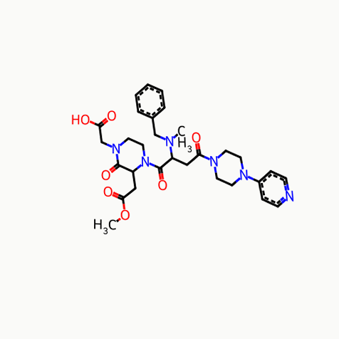 COC(=O)CC1C(=O)N(CC(=O)O)CCN1C(=O)C(CC(=O)N1CCN(c2ccncc2)CC1)N(C)Cc1ccccc1